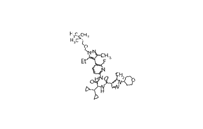 CCc1c(-c2ccc(NC(=O)C(NC(=O)c3cnn(C4CCOCC4)c3C)C(C3CC3)C3CC3)nc2F)c(C)nn1COCCS(C)(C)C